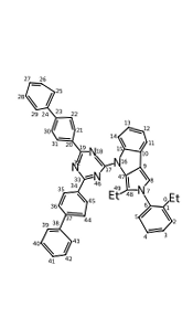 CCc1ccccc1-n1cc2c3ccccc3n(-c3nc(-c4ccc(-c5ccccc5)cc4)nc(-c4ccc(-c5ccccc5)cc4)n3)c2c1CC